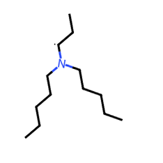 CC[CH]N(CCCCC)CCCCC